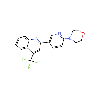 FC(F)(F)c1cc(-c2ccc(N3CCOCC3)nc2)nc2ccccc12